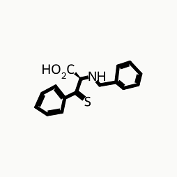 O=C(O)[C@@H](NCc1ccccc1)C(=S)c1ccccc1